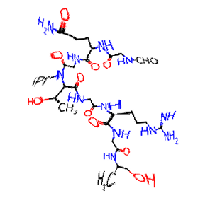 CC(CO)NC(=O)CNC(=O)[C@H](CCCNC(=N)N)NC(=O)CNC(=O)C(C(C)O)N(C(=O)CNC(=O)C(CCC(N)=O)NC(=O)CNC=O)C(C)C